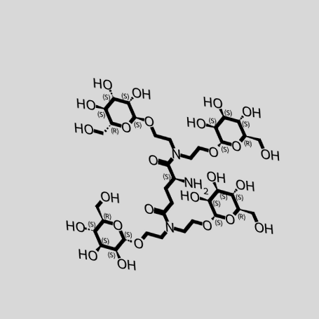 N[C@@H](CCC(=O)N(CCO[C@H]1O[C@H](CO)[C@@H](O)[C@H](O)[C@@H]1O)CCO[C@H]1O[C@H](CO)[C@@H](O)[C@H](O)[C@@H]1O)C(=O)N(CCO[C@H]1O[C@H](CO)[C@@H](O)[C@H](O)[C@@H]1O)CCO[C@H]1O[C@H](CO)[C@@H](O)[C@H](O)[C@@H]1O